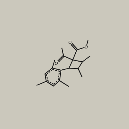 COC(=O)C1(C(C)=O)C(C)C(C)C1c1c(C)cc(C)cc1C